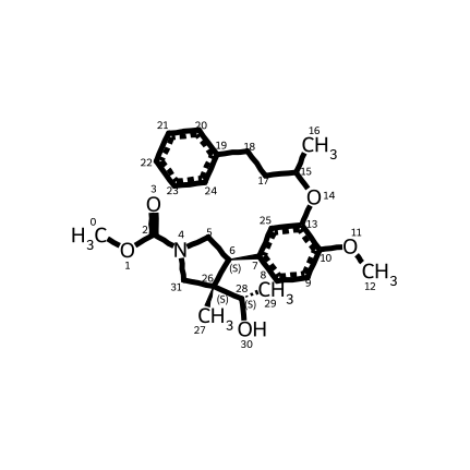 COC(=O)N1C[C@@H](c2ccc(OC)c(OC(C)CCc3ccccc3)c2)[C@](C)([C@H](C)O)C1